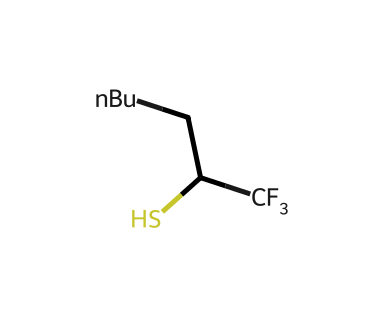 CCCCCC(S)C(F)(F)F